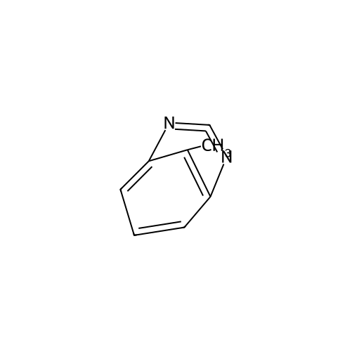 Cc1c2cccc1N=C=N2